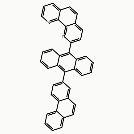 c1ccc2c(c1)ccc1cc(-c3c4ccccc4c(-c4ccc5ccc6cccnc6c5n4)c4ccccc34)ccc12